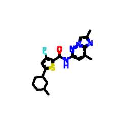 Cc1cn2nc(NC(=O)c3sc(C4CCCC(C)C4)cc3F)cc(C)c2n1